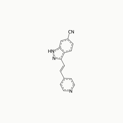 N#Cc1ccc2c(/C=C/c3ccncc3)n[nH]c2c1